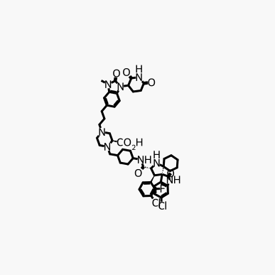 Cn1c(=O)n(C2CCC(=O)NC2=O)c2ccc(CCCN3CCN(CC4CCC(NC(=O)[C@@H]5NC6(CCCCC6)[C@@]6(C(=O)Nc7cc(Cl)ccc76)[C@H]5c5cccc(Cl)c5F)CC4)[C@H](C(=O)O)C3)cc21